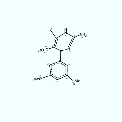 CCOC(=O)C1=C(C)NC(N)=NC1c1cc(OC)cc(OC)c1